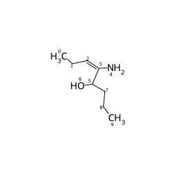 CC/C=C(/N)C(O)CCC